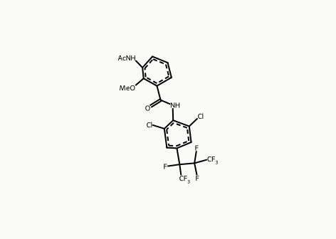 COc1c(NC(C)=O)cccc1C(=O)Nc1c(Cl)cc(C(F)(C(F)(F)F)C(F)(F)C(F)(F)F)cc1Cl